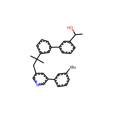 CC(O)c1cccc(-c2cccc(C(C)(C)Cc3cncc(-c4cccc(C(C)(C)C)c4)c3)c2)c1